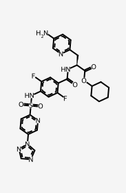 Nc1ccc(C[C@H](NC(=O)c2cc(F)c(NS(=O)(=O)c3ccc(-n4cncn4)cn3)cc2F)C(=O)OC2CCCCC2)nc1